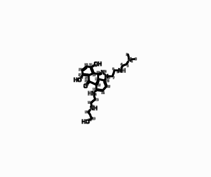 CN(C)CCNCCn1nc2c3c(c(NCCNCCO)ccc31)C(=O)c1c(O)ccc(O)c1-2